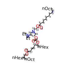 CCCCCCCC/C=C\CCCCCCCC(=O)OCCN(CCOC(=O)OC(CCCCCC)CCCCC(=O)OCC(CCCCCC)CCCCCCCC)CCN(CC)CC